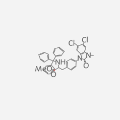 COC(=O)C(Cc1ccc(-n2c(=O)n(C)c3cc(Cl)c(Cl)cc32)cc1)NC(c1ccccc1)(c1ccccc1)c1ccccc1